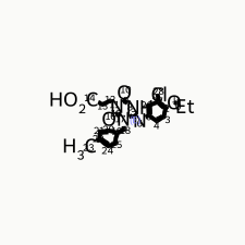 CCOc1ccc(/N=c2\[nH]c(=O)n(CCC(=O)O)c(=O)n2CC2C=CC(C)=CC2)cc1Cl